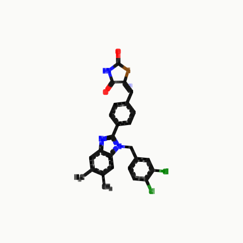 Cc1cc2nc(-c3ccc(/C=C4/SC(=O)NC4=O)cc3)n(Cc3ccc(Cl)c(Cl)c3)c2cc1C